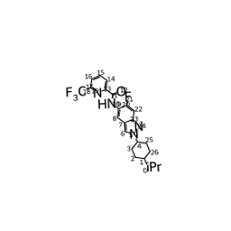 CC(C)C1CCC(n2cc3cc(NC(=O)c4cccc(C(F)(F)F)n4)c(F)cc3n2)CC1